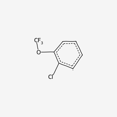 FC(F)(F)Oc1ccc[c]c1Cl